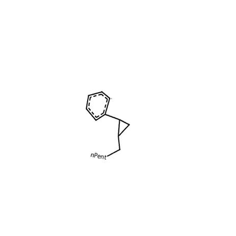 [CH2]CCCCCC1CC1c1[c]cccc1